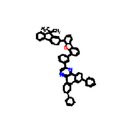 CC1(C)c2ccccc2-c2ccc(-c3cccc4c3oc3c(-c5cccc(-c6cnc7c8ccc(-c9ccccc9)cc8c8cc(-c9ccccc9)ccc8c7n6)c5)cccc34)cc21